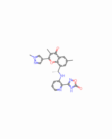 Cc1cc([C@@H](C)Nc2cccnc2-c2noc(=O)[nH]2)c2oc(-c3cnn(C)c3)c(C)c(=O)c2c1